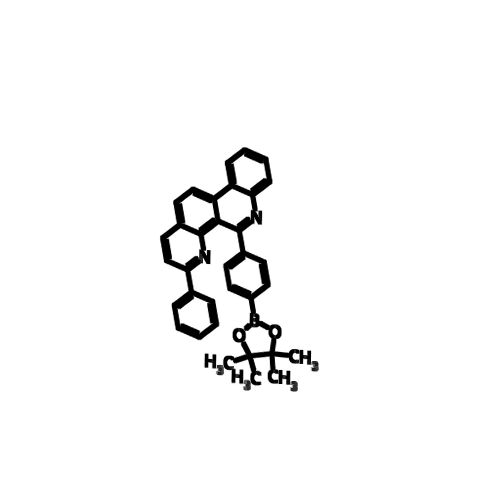 CC1(C)OB(c2ccc(-c3nc4ccccc4c4ccc5ccc(-c6ccccc6)nc5c34)cc2)OC1(C)C